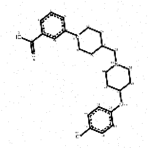 O=C(O)c1cccc(N2CCC(CN3CCC(Oc4ccc(Cl)cc4)CC3)CC2)c1